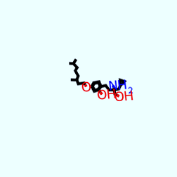 CC(C)CCCC(C)CCOc1ccc(CCC(N)(CO)CC2CC2)c(O)c1